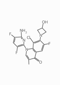 Cc1cn(-c2nc(N)c(F)cc2F)c2c(Cl)c(N3CC(O)C3)c(F)cc2c1=O